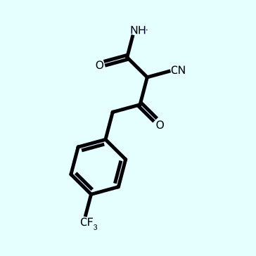 N#CC(C([NH])=O)C(=O)Cc1ccc(C(F)(F)F)cc1